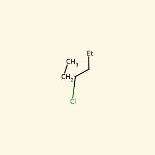 CCCCCl.[CH2]C